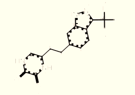 O=c1[nH]cc(CCc2ccc3c(C(F)(F)F)n[nH]c3c2)[nH]c1=O